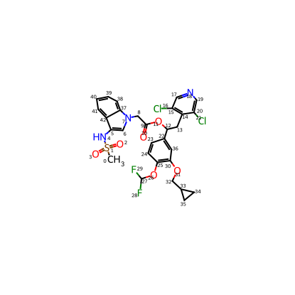 CS(=O)(=O)Nc1cn(CC(=O)OC(Cc2c(Cl)cncc2Cl)c2ccc(OC(F)F)c(OCC3CC3)c2)c2ccccc12